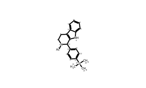 CC(=O)N1CCc2c([nH]c3ccccc23)C1c1ccc([Si](C)(C)C)cc1